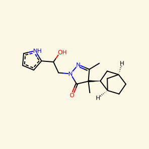 CC1=NN(CC(O)c2ccc[nH]2)C(=O)C1(C)[C@H]1C[C@H]2CC[C@@H]1C2